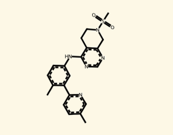 Cc1ccc(-c2cc(Nc3ncnc4c3CCN(S(C)(=O)=O)C4)ccc2C)nc1